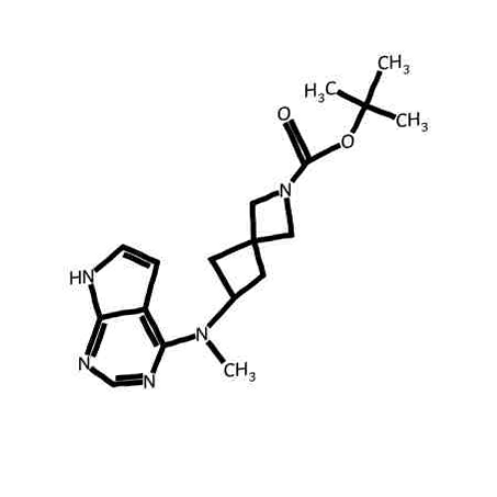 CN(c1ncnc2[nH]ccc12)C1CC2(C1)CN(C(=O)OC(C)(C)C)C2